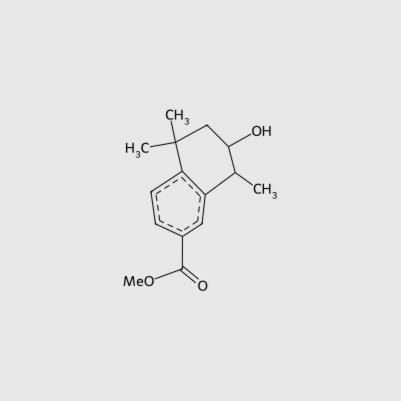 COC(=O)c1ccc2c(c1)C(C)C(O)CC2(C)C